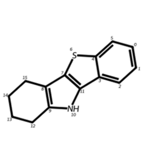 c1ccc2c(c1)sc1c3c([nH]c12)CCCC3